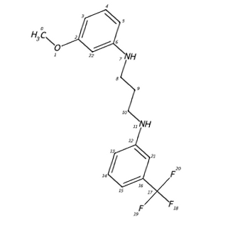 COc1cccc(NCCCNc2cccc(C(F)(F)F)c2)c1